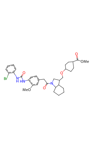 COC(=O)C1CCC(OCC2CN(C(=O)Cc3ccc(NC(=O)Nc4ccccc4Br)c(OC)c3)C3CCCCC23)CC1